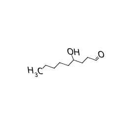 CCCCCC(O)CCC=O